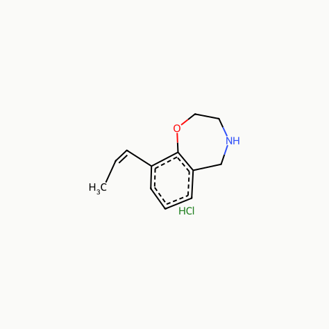 C/C=C\c1cccc2c1OCCNC2.Cl